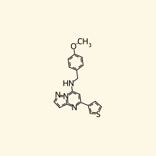 COc1ccc(CNc2cc(-c3ccsc3)nc3ccnn23)cc1